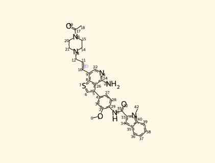 COc1cc(-c2csc3c(/C=C/CN4CCN(C(C)=O)CC4)cnc(N)c23)ccc1NC(=O)c1cc2ccccc2n1C